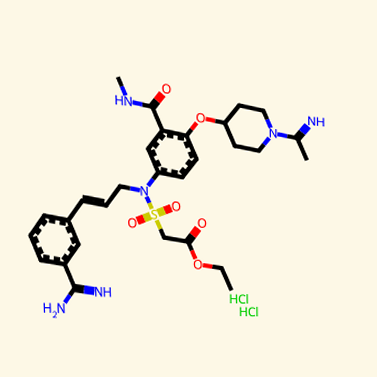 CCOC(=O)CS(=O)(=O)N(C/C=C/c1cccc(C(=N)N)c1)c1ccc(OC2CCN(C(C)=N)CC2)c(C(=O)NC)c1.Cl.Cl